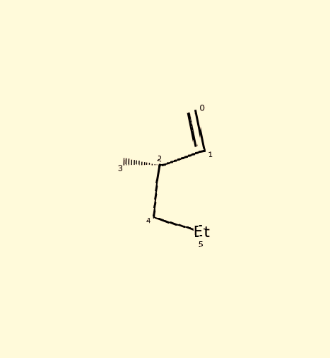 C=C[C@@H](C)CCC